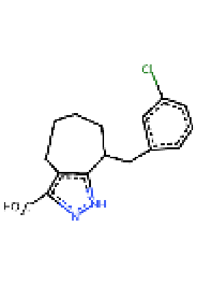 O=C(O)c1n[nH]c2c1CCCCC2Cc1cccc(Cl)c1